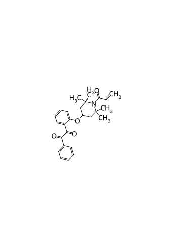 C=CC(=O)N1C(C)(C)CC(Oc2ccccc2C(=O)C(=O)c2ccccc2)CC1(C)C